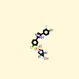 O=S(=O)(c1cc(-c2ncc(-c3ccc(Br)c(F)c3)[nH]2)ccc1Cl)N1C[C@@H]2[C@@H](O)[C@@H]2C1